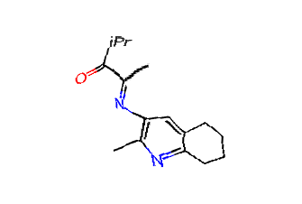 C/C(=N\c1cc2c(nc1C)CCCC2)C(=O)C(C)C